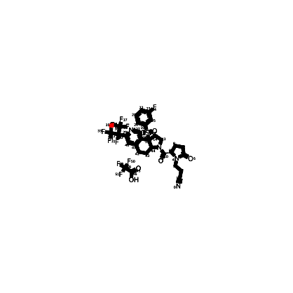 N#CCCN1C(=O)CC[C@H]1C(=O)N1CCC2(S(=O)(=O)c3cccc(F)c3)c3cnc(C(F)(C(F)(F)F)C(F)(F)F)cc3CCC12.O=C(O)C(F)(F)F